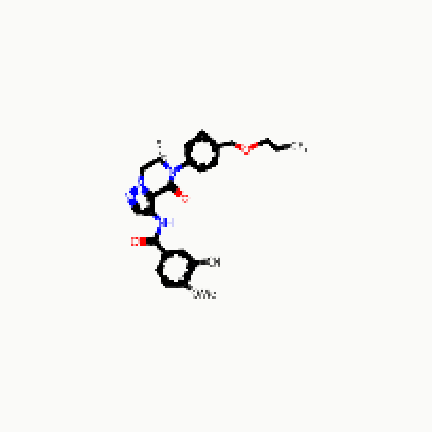 COc1ccc(C(=O)Nc2cnn3c2C(=O)N(c2ccc(COCCC(F)(F)F)cc2)[C@@H](C)C3)cc1C#N